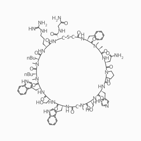 CCCC[C@H]1C(=O)N(C)[C@@H](CCCC)C(=O)N[C@@H](CCCNC(=N)N)C(=O)N[C@H](C(=O)NCC(N)=O)CSCC(=O)N[C@@H](Cc2ccccc2)C(=O)N(C)[C@@H](C)C(=O)N[C@@H](CC(N)=O)C(=O)N2CCC[C@H]2C(=O)N[C@@H](Cc2cnc[nH]2)C(=O)N[C@@H](CO)C(=O)N(C)CC(=O)N[C@@H](Cc2c[nH]c3ccccc23)C(=O)N[C@@H](CO)C(=O)N[C@@H](Cc2c[nH]c3ccccc23)C(=O)N1C